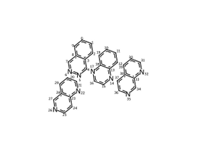 c1ccc2cnncc2c1.c1ccc2nccnc2c1.c1cnc2ccncc2c1.c1cnc2cnccc2c1